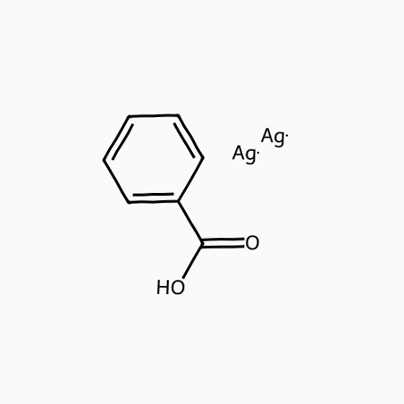 O=C(O)c1ccccc1.[Ag].[Ag]